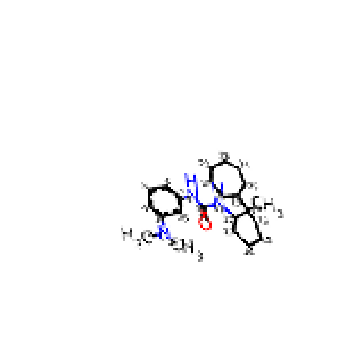 CN(C)c1cccc(NC(=O)NC2CCCCC2(C)C2CCCCCC2)c1